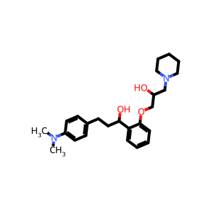 CN(C)c1ccc(CCC(O)c2ccccc2OCC(O)CN2CCCCC2)cc1